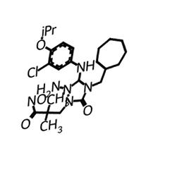 CC(C)Oc1ccc(NC2N(CC3CCCCCC3)C(=O)N(CC(C)(C)C(=O)N=O)N2N)cc1Cl